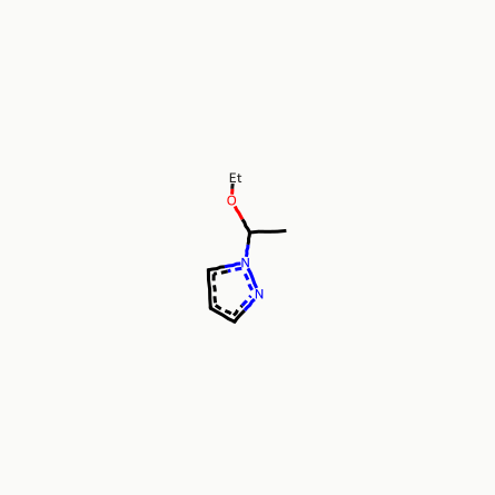 CCOC(C)n1cccn1